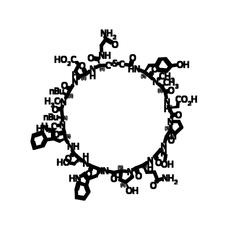 CCCC[C@H]1C(=O)N(C)[C@@H](CCCC)C(=O)N[C@@H](CCC(=O)O)C(=O)N[C@H](C(=O)NCC(N)=O)CSCC(=O)N[C@@H](Cc2ccc(O)cc2)C(=O)N(C)[C@@H](C)C(=O)N[C@@H](CC(=O)O)C(=O)N2CCC[C@H]2C(=O)N[C@@H](CO)C(=O)N[C@@H](CCC(N)=O)C(=O)N2C[C@H](O)C[C@H]2C(=O)N[C@@H](Cc2c[nH]c3ccccc23)C(=O)N[C@@H](CO)C(=O)N[C@@H](Cc2c[nH]c3ccccc23)C(=O)N1C